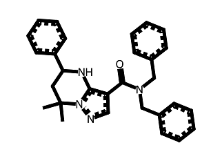 CC1(C)CC(c2ccccc2)Nc2c(C(=O)N(Cc3ccccc3)Cc3ccccc3)cnn21